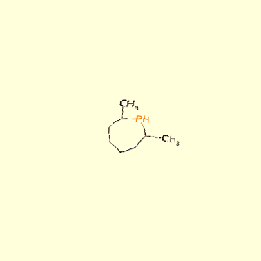 CC1CCCCC(C)P1